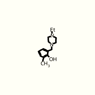 CCN1CCN(Cc2cccc(C)c2O)CC1